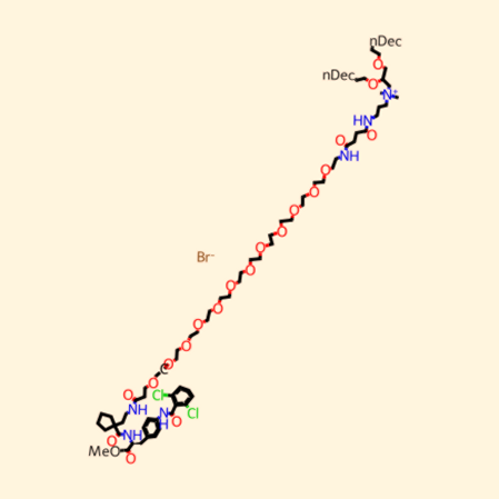 CCCCCCCCCCCCOCC(C[N+](C)(C)CCCNC(=O)CCC(=O)NCCOCCOCCOCCOCCOCCOCCOCCOCCOCCOCCOCCOCCC(=O)NCCC1(C(=O)N[C@@H](Cc2ccc(NC(=O)c3c(Cl)cccc3Cl)cc2)C(=O)OC)CCCC1)OCCCCCCCCCCCC.[Br-]